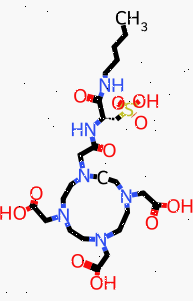 CCCCCNC(=O)[C@H](CS(=O)(=O)O)NC(=O)CN1CCN(CC(=O)O)CCN(CC(=O)O)CCN(CC(=O)O)CC1